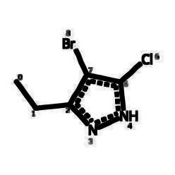 CCc1n[nH]c(Cl)c1Br